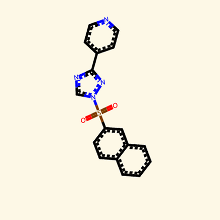 O=S(=O)(c1ccc2ccccc2c1)n1cnc(-c2ccncc2)n1